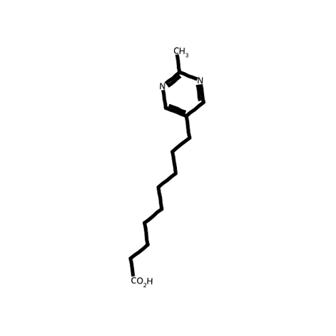 Cc1ncc(CCCCCCCCC(=O)O)cn1